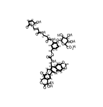 CC[C@@]1(O)C(=O)OCc2c1cc1n(c2=O)Cc2c-1nc1cc3c(cc1c2CNC(=O)OCc1ccc(O[C@@H]2OC(C(=O)O)[C@@H](O)C(O)C2O)c(NC(=O)CCNC(=O)CCN2C(=O)C=CC2O)c1)OCO3